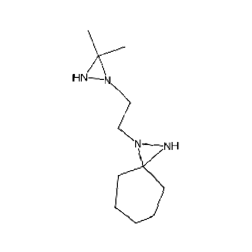 CC1(C)NN1CCN1NC12CCCCC2